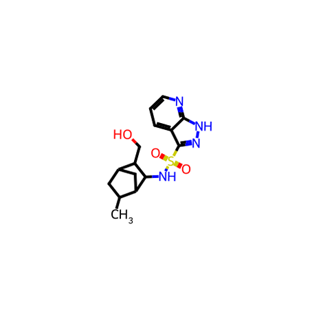 CC1CC2CC1C(NS(=O)(=O)c1n[nH]c3ncccc13)C2CO